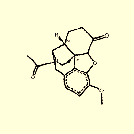 COc1ccc2c3c1OC1C(=O)CC[C@H]4C(C2)N(C(C)=O)CC[C@]314